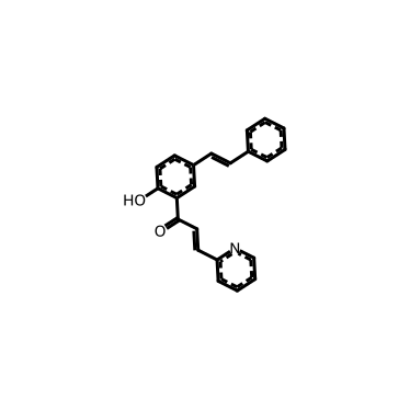 O=C(C=Cc1ccccn1)c1cc(C=Cc2ccccc2)ccc1O